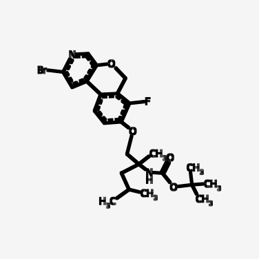 CC(C)CC(C)(COc1ccc2c(c1F)COc1cnc(Br)cc1-2)NC(=O)OC(C)(C)C